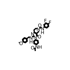 COc1ccc(CNc2nc3c(c(=O)n2-c2ccc(NC(C)=O)cc2)CN(C(=O)Nc2ccc(F)c(F)c2)CC3)cc1